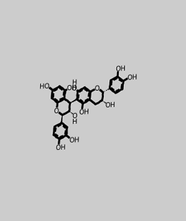 Oc1cc(O)c2c(c1)O[C@H](c1ccc(O)c(O)c1)[C@@H](O)[C@@H]2c1c(O)cc2c(c1O)C[C@@H](O)[C@@H](c1ccc(O)c(O)c1)O2